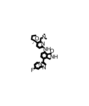 CN(C)Cc1nc(Nc2ccc(-c3cnc4cc(F)ccn34)c3c2C(=O)NC3)ccc1[C@@]1(C)CCCO1